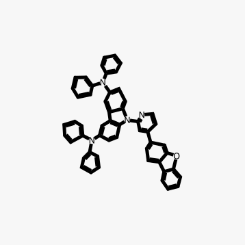 c1ccc(N(c2ccccc2)c2ccc3c(c2)c2cc(N(c4ccccc4)c4ccccc4)ccc2n3-c2cc(-c3ccc4c(c3)oc3ccccc34)ccn2)cc1